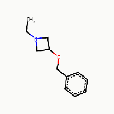 CCN1CC(OCc2ccccc2)C1